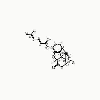 CC[C@]12c3c4ccc(OC(=O)/C=C/C=C(C)C)c3O[C@H]1C(=O)CC([C@H]2C)N(C)C4